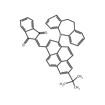 CC(C)(C)c1cc2ccc3c(C=C4C(=O)c5ccccc5C4=O)cc(N4c5ccccc5CCc5ccccc54)c4ccc(c1)c2c34